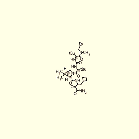 CN(CC1CC1)C(=O)[C@@H](NC(=O)N[C@H](C(=O)N1C[C@H]2[C@@H]([C@H]1C(=O)NC(CC1CCC1)C(=O)C(N)=O)C2(C)C)C(C)(C)C)C(C)(C)C